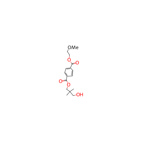 COCCOC(=O)c1ccc(C(=O)OCC(C)(C)CO)cc1